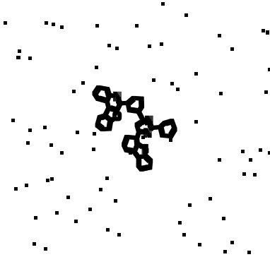 c1ccc(-c2nc(-c3cccc(-c4nc5ccccc5c5c4oc4ccccc45)c3)cc(-c3cccc4c3sc3ccccc34)n2)cc1